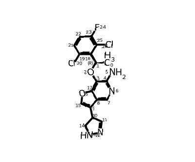 C[C@@H](Oc1c(N)ncc2c(C3C=NNC3)coc12)c1c(Cl)ccc(F)c1Cl